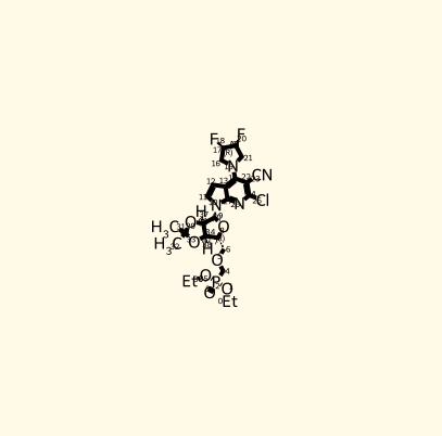 CCOP(=O)(COC[C@H]1O[C@@H](n2ccc3c(N4C[C@@H](F)[C@@H](F)C4)c(C#N)c(Cl)nc32)[C@@H]2OC(C)(C)O[C@@H]21)OCC